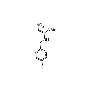 CNC(=C[N+](=O)[O-])NCc1ccc(Cl)cc1